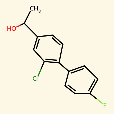 CC(O)c1ccc(-c2ccc(F)cc2)c(Cl)c1